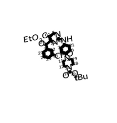 CCOC(=O)c1cnc(Nc2ccc(N3CCN(C(=O)OC(C)(C)C)CC3)cc2)nc1C(=O)c1cccc(C=O)c1